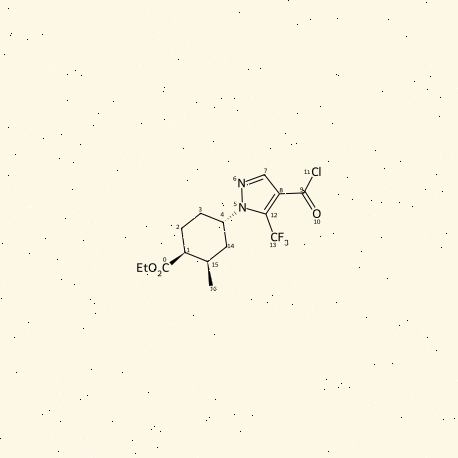 CCOC(=O)[C@H]1CC[C@H](n2ncc(C(=O)Cl)c2C(F)(F)F)C[C@H]1C